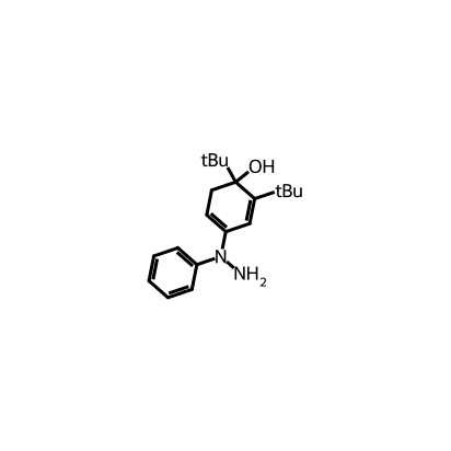 CC(C)(C)C1=CC(N(N)c2ccccc2)=CCC1(O)C(C)(C)C